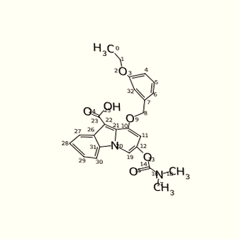 CCOc1cccc(COc2cc(OC(=O)N(C)C)cn3c2c(C(=O)O)c2ccccc23)c1